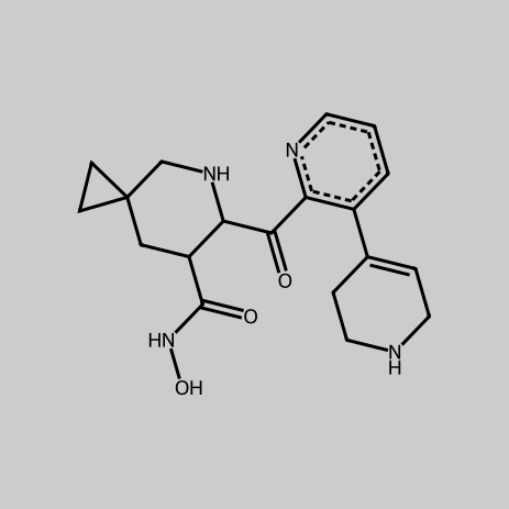 O=C(NO)C1CC2(CC2)CNC1C(=O)c1ncccc1C1=CCNCC1